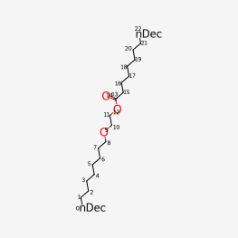 CCCCCCCCCCCCCCCCCCOCCOC(=O)CCCCCCCCCCCCCCCCC